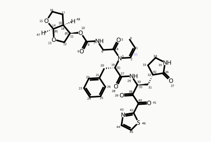 C/C=C\N(C(=O)CNC(=O)O[C@H]1CO[C@H]2OCC[C@H]21)[C@@H](Cc1ccccc1)C(=O)N[C@@H](C[C@@H]1CCNC1=O)C(=O)C(=O)c1nccs1